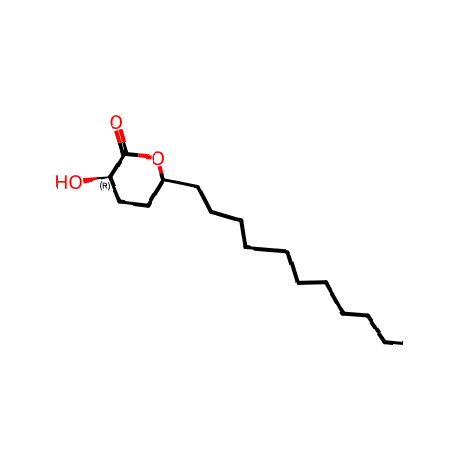 CCCCCCCCCCCC1CC[C@@H](O)C(=O)O1